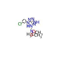 CC(C)(C)ON(C=O)CCNc1n[nH]c2ncnc(Nc3cccc(Cl)c3)c12